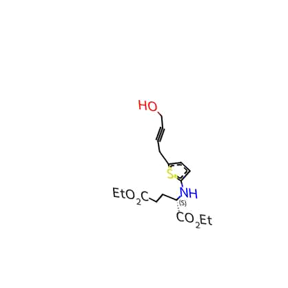 CCOC(=O)CC[C@H](Nc1ccc(CC#CCO)s1)C(=O)OCC